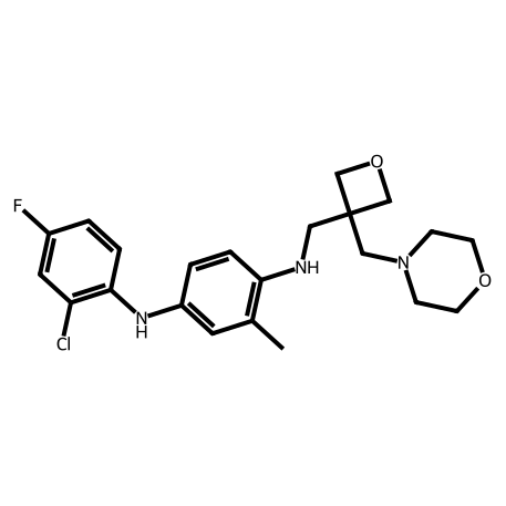 Cc1cc(Nc2ccc(F)cc2Cl)ccc1NCC1(CN2CCOCC2)COC1